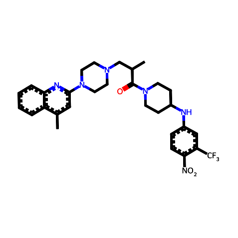 Cc1cc(N2CCN(CC(C)C(=O)N3CCC(Nc4ccc([N+](=O)[O-])c(C(F)(F)F)c4)CC3)CC2)nc2ccccc12